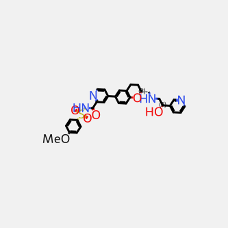 COc1ccc(S(=O)(=O)NC(=O)c2cc(-c3ccc4c(c3)CC[C@H](CNC[C@H](O)c3cccnc3)O4)ccn2)cc1